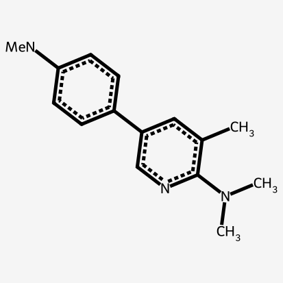 CNc1ccc(-c2cnc(N(C)C)c(C)c2)cc1